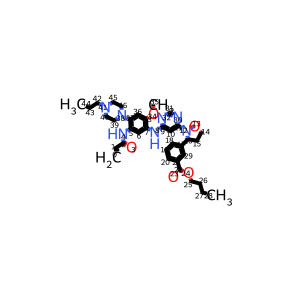 C=CC(=O)Nc1cc(Nc2cc(N3OCCC3c3cccc(C(=O)OCCCC)c3)ncn2)c(OC)cc1N1CCN(CCC)CC1